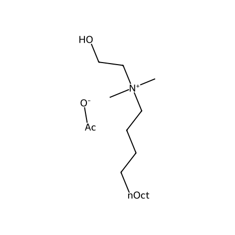 CC(=O)[O-].CCCCCCCCCCCC[N+](C)(C)CCO